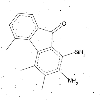 Cc1cccc2c1-c1c(C)c(C)c(N)c([SiH3])c1C2=O